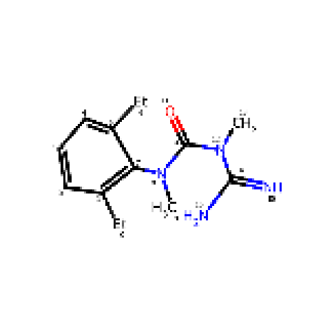 CCc1cccc(CC)c1N(C)C(=O)N(C)C(=N)N